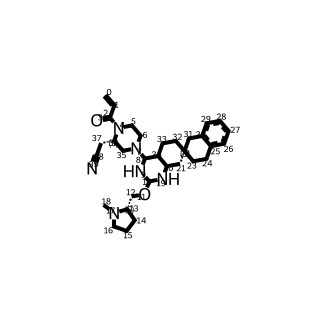 C=CC(=O)N1CCN(C2NC(OC[C@@H]3CCCN3C)NC3C[C@]4(CCc5ccccc5C4)CCC32)C[C@@H]1CC#N